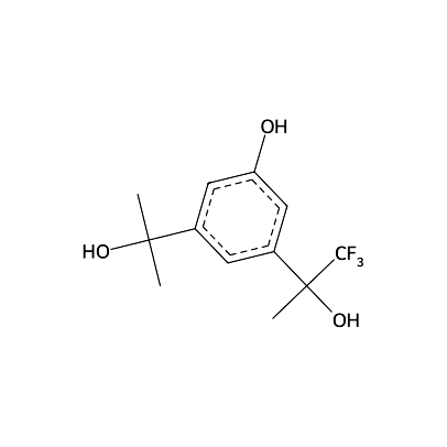 CC(C)(O)c1cc(O)cc(C(C)(O)C(F)(F)F)c1